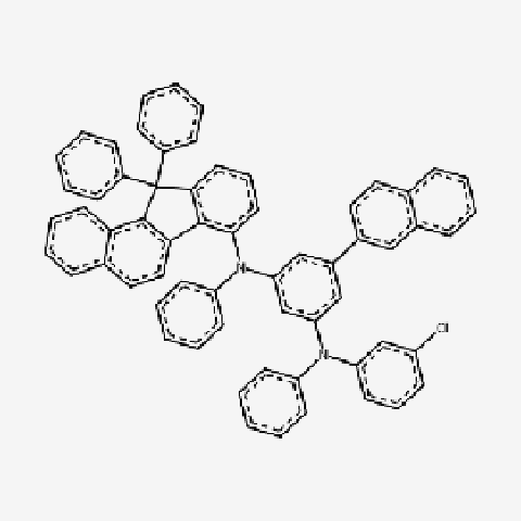 Clc1cccc(N(c2ccccc2)c2cc(-c3ccc4ccccc4c3)cc(N(c3ccccc3)c3cccc4c3-c3ccc5ccccc5c3C4(c3ccccc3)c3ccccc3)c2)c1